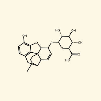 CN1CCC23c4c5ccc(O)c4OC2C(SC2O[C@H](C(=O)O)[C@@H](O)[C@H](O)[C@H]2O)C=CC3C1C5